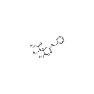 CC(=O)N(C)[C@@H](CC(=O)OCc1ccccc1)C(=O)O